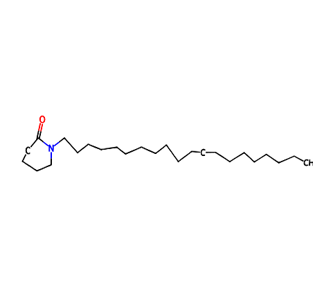 CCCCCCCCCCCCCCCCCCCCN1CCCCC1=O